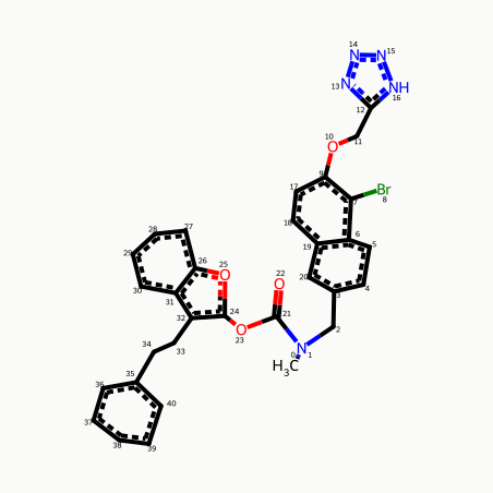 CN(Cc1ccc2c(Br)c(OCc3nnn[nH]3)ccc2c1)C(=O)Oc1oc2ccccc2c1CCc1ccccc1